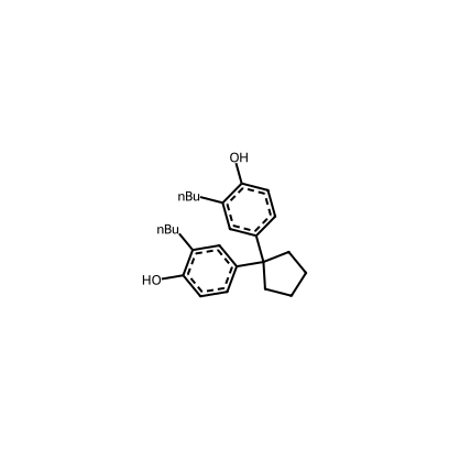 CCCCc1cc(C2(c3ccc(O)c(CCCC)c3)CCCC2)ccc1O